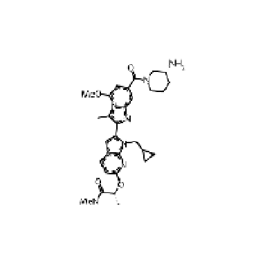 CNC(=O)[C@@H](C)Oc1ccc2cc(-c3nc4cc(C(=O)N5CCC[C@@H](N)C5)cc(OC)n4c3C)n(CC3CC3)c2n1